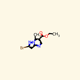 CCOC(=O)c1cnc2cc(Br)nn2c1C